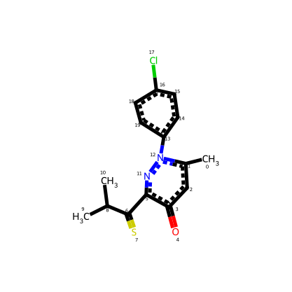 Cc1cc(=O)c(C(=S)C(C)C)nn1-c1ccc(Cl)cc1